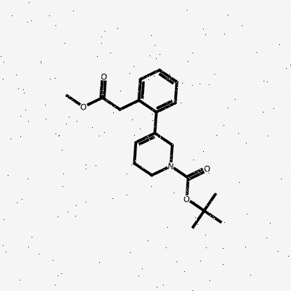 COC(=O)Cc1ccccc1C1=CCCN(C(=O)OC(C)(C)C)C1